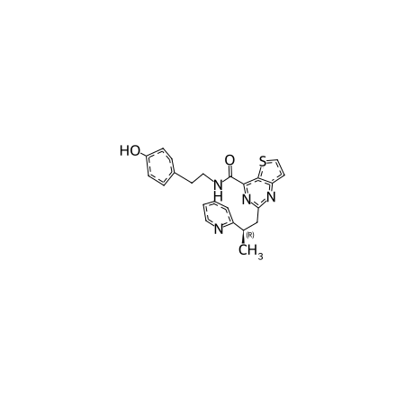 C[C@H](Cc1nc(C(=O)NCCc2ccc(O)cc2)c2sccc2n1)c1ccccn1